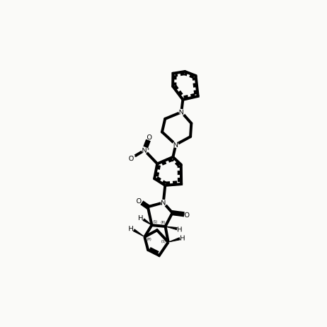 O=C1[C@@H]2[C@H](C(=O)N1c1ccc(N3CCN(c4ccccc4)CC3)c([N+](=O)[O-])c1)[C@@H]1C=C[C@H]2C1